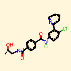 C[C@@H](O)CNC(=O)c1ccc(C(=O)N(Cl)c2ccc(Cl)c(-c3ccccn3)c2)cc1